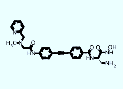 CN(CC(=O)Nc1ccc(C#Cc2ccc(C(=O)N[C@@H](CN)C(=O)NO)cc2)cc1)Cc1ccccn1